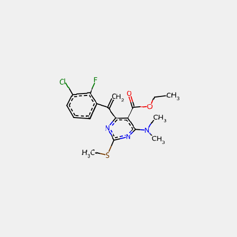 C=C(c1cccc(Cl)c1F)c1nc(SC)nc(N(C)C)c1C(=O)OCC